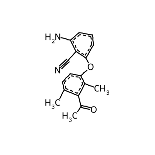 CC(=O)c1c(C)ccc(Oc2cccc(N)c2C#N)c1C